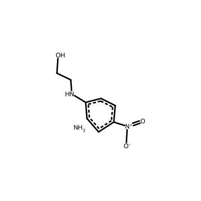 N.O=[N+]([O-])c1ccc(NCCO)cc1